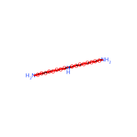 NCCCCOCCCCOCCCCOCCCCOCCCCOCCCCOCCCCOCCCCOCCCCNCCCCOCCCCOCCCCOCCCCOCCCCOCCCCOCCCCOCCCCOCCCCN